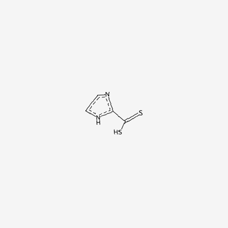 S=C(S)c1ncc[nH]1